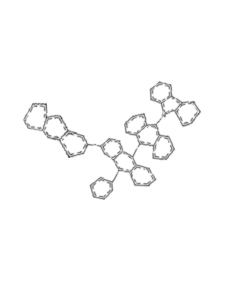 c1ccc(-c2c3ccccc3c(-c3c4ccccc4c(-n4c5ccccc5c5ccccc54)c4ccccc34)c3ccc(-c4ccc5cc6ccccc6cc5c4)cc23)cc1